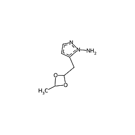 CC1OC(Cc2ccnn2N)O1